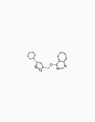 c1ccc(-c2cc(COc3ncnc4ccccc34)on2)cc1